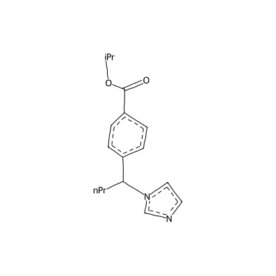 CCCC(c1ccc(C(=O)OC(C)C)cc1)n1ccnc1